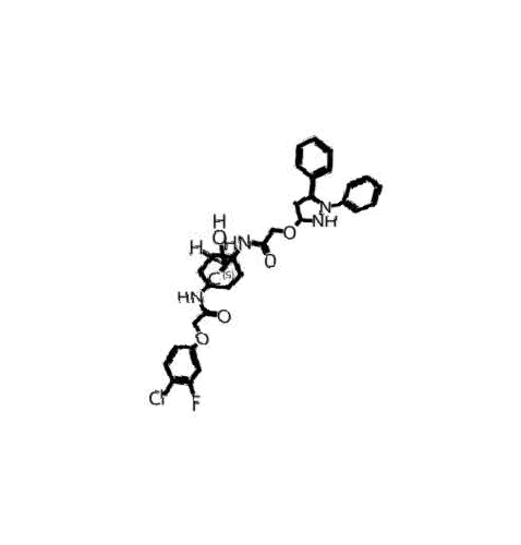 O=C(COc1ccc(Cl)c(F)c1)NC12CCC(NC(=O)COC3CC(c4ccccc4)N(c4ccccc4)N3)(CC1)[C@@H](O)C2